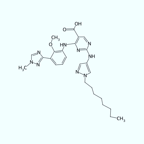 CCCCCCCCn1cc(Nc2ncc(C(=O)O)c(Nc3cccc(-c4ncn(C)n4)c3OC)n2)cn1